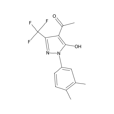 CC(=O)c1c(C(F)(F)F)nn(-c2ccc(C)c(C)c2)c1O